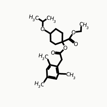 CCOC(=O)C1(OC(=O)Cc2c(C)cc(C)cc2C)CCC(OC(C)C)CC1